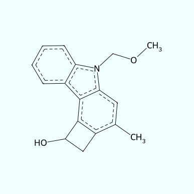 COCn1c2ccccc2c2c3c(c(C)cc21)CC3O